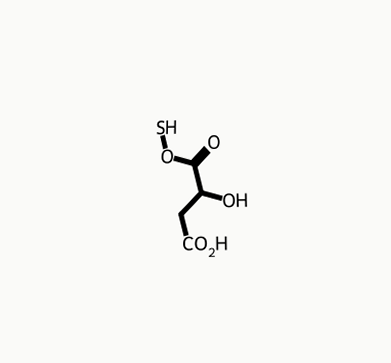 O=C(O)CC(O)C(=O)OS